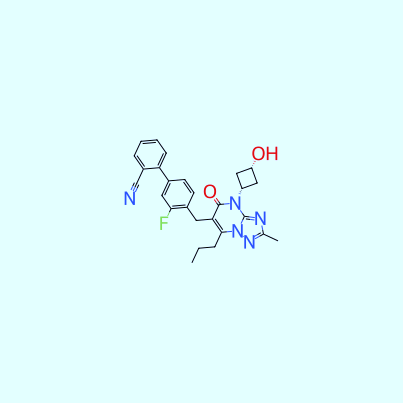 CCCc1c(Cc2ccc(-c3ccccc3C#N)cc2F)c(=O)n([C@H]2C[C@@H](O)C2)c2nc(C)nn12